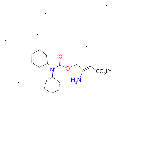 CCOC(=O)C=C(N)COC(=O)N(C1CCCCC1)C1CCCCC1